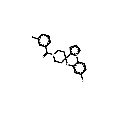 O=C(c1cccc(Cl)c1)N1CCC2(CC1)Oc1cc(Cl)ccc1-n1cccc12